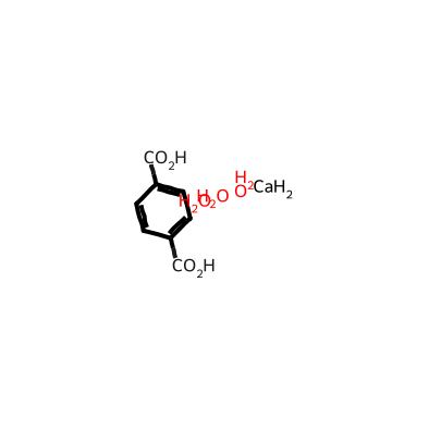 O.O.O.O=C(O)c1ccc(C(=O)O)cc1.[CaH2]